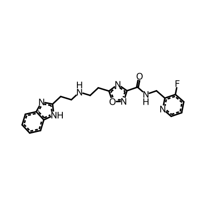 O=C(NCc1ncccc1F)c1noc(CCNCCc2nc3ccccc3[nH]2)n1